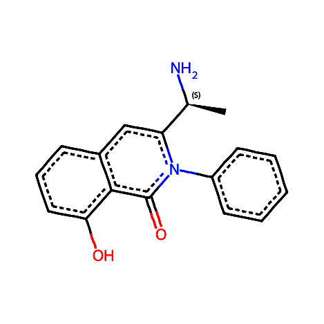 C[C@H](N)c1cc2cccc(O)c2c(=O)n1-c1ccccc1